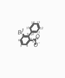 O=[N+]([O-])c1cccc(Br)c1-c1ccccc1